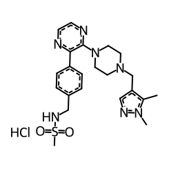 Cc1c(CN2CCN(c3nccnc3-c3ccc(CNS(C)(=O)=O)cc3)CC2)cnn1C.Cl